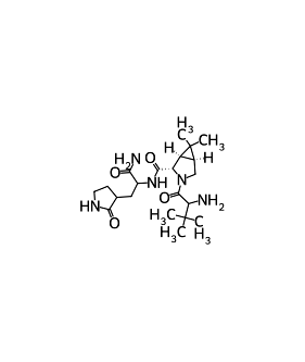 CC(C)(C)C(N)C(=O)N1C[C@H]2[C@@H]([C@H]1C(=O)NC(CC1CCNC1=O)C(N)=O)C2(C)C